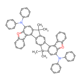 CC1(C)c2cc3c(cc2-c2c1cc(N(c1ccccc1)c1ccccc1)c1oc4ccccc4c21)[Si](C)(C)c1cc(N(c2ccccc2)c2ccccc2)c2oc4ccccc4c2c1-3